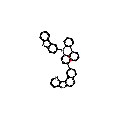 c1ccc(-c2ccccc2N(c2ccc(-c3ccc4ccc5oc6cccnc6c5c4c3)cc2)c2ccc3sc4ccccc4c3c2)cc1